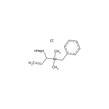 C=CC(CCCCCCC)[N+](C)(C)Cc1ccccc1.[Cl-]